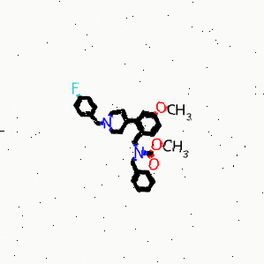 COC(=O)N(Cc1ccccc1)Cc1ccc(OC)cc1C1CCN(Cc2ccc(F)cc2)CC1